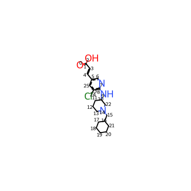 O=C(O)C=Cc1cnc(N[C@@H]2CCCN(CC3CCCCC3)C2)c(Cl)c1